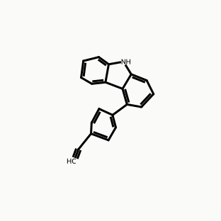 C#Cc1ccc(-c2cccc3[nH]c4ccccc4c23)cc1